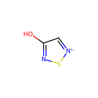 OC1=NS[N+]=[C]1